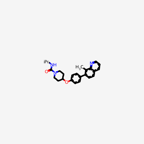 Cc1c(-c2ccc(OC3CCN(C(=O)NC(C)C)CC3)cc2)ccc2cccnc12